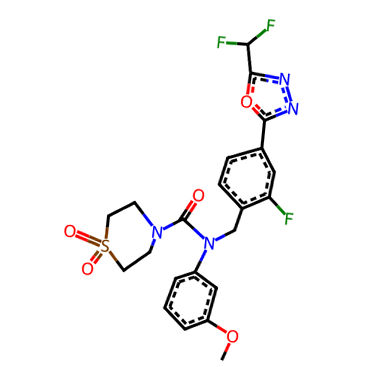 COc1cccc(N(Cc2ccc(-c3nnc(C(F)F)o3)cc2F)C(=O)N2CCS(=O)(=O)CC2)c1